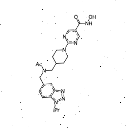 CC(=O)N(Cc1ccc2c(c1)nnn2C(C)C)CC1CCN(c2ncc(C(=O)NO)cn2)CC1